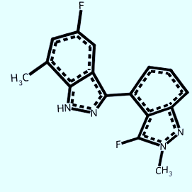 Cc1cc(F)cc2c(-c3cccc4nn(C)c(F)c34)n[nH]c12